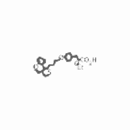 CCOC(Cc1ccc(OCCCCC2SC=CC3=C2c2ccccc2OC=C3)cc1)C(=O)O